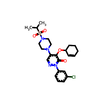 CC(C)S(=O)(=O)N1CCN(c2cnn(-c3cccc(Cl)c3)c(=O)c2OC2C=CCCC2)CC1